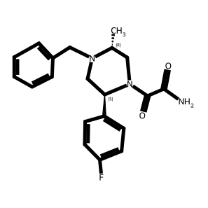 C[C@@H]1CN(C(=O)C(N)=O)[C@@H](c2ccc(F)cc2)CN1Cc1ccccc1